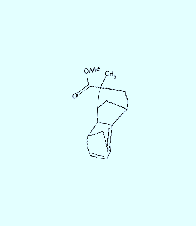 COC(=O)C1(C)CC2CC1C1C2=C2C=CC1C2